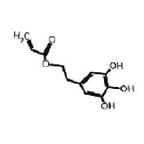 C=CC(=O)OCCc1cc(O)c(O)c(O)c1